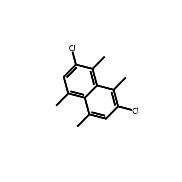 Cc1cc(Cl)c(C)c2c(C)c(Cl)cc(C)c12